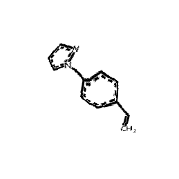 C=Cc1ccc(-n2cccn2)cc1